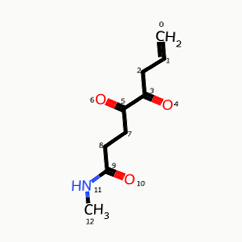 C=CCC(=O)C(=O)CCC(=O)NC